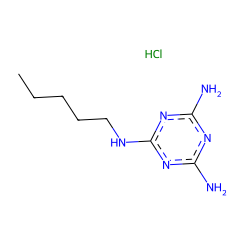 CCCCCNc1nc(N)nc(N)n1.Cl